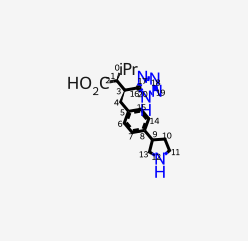 CC(C)[C@H](C(=O)O)[C@H](Cc1ccc(C2CCNC2)cc1)c1nnn[nH]1